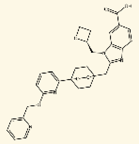 O=C(O)c1ccc2nc(CC34CCC(c5cccc(OCc6ccccn6)n5)(CC3)CC4)n(C[C@@H]3CCO3)c2c1